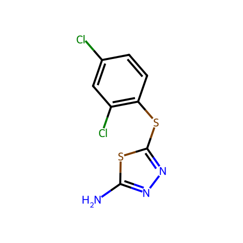 Nc1nnc(Sc2ccc(Cl)cc2Cl)s1